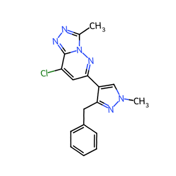 Cc1nnc2c(Cl)cc(-c3cn(C)nc3Cc3ccccc3)nn12